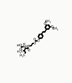 CCC(C)C(NC(=O)O)C(=O)NCCOC(=O)Oc1ccc(C=Cc2cc(OC)cc(OC)c2)cc1